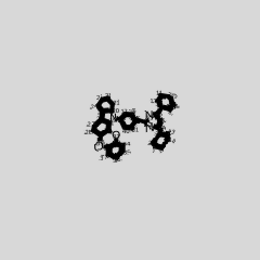 c1ccc(-c2cc(-c3ccccc3)nc(-c3ccc(-n4c5ccccc5c5ccc6c(c54)Oc4ccccc4O6)cc3)n2)cc1